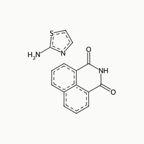 Nc1nccs1.O=C1NC(=O)c2cccc3cccc1c23